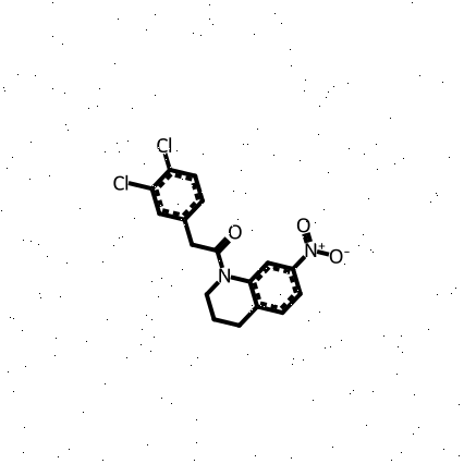 O=C(Cc1ccc(Cl)c(Cl)c1)N1CCCc2ccc([N+](=O)[O-])cc21